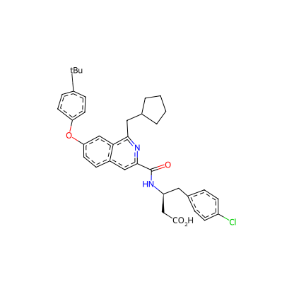 CC(C)(C)c1ccc(Oc2ccc3cc(C(=O)N[C@H](CC(=O)O)Cc4ccc(Cl)cc4)nc(CC4CCCC4)c3c2)cc1